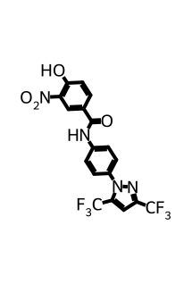 O=C(Nc1ccc(-n2nc(C(F)(F)F)cc2C(F)(F)F)cc1)c1ccc(O)c([N+](=O)[O-])c1